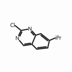 CC(C)c1ccc2cnc(Cl)nc2c1